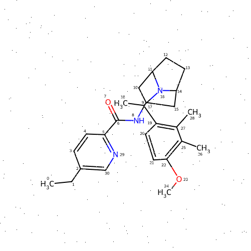 CCc1ccc(C(=O)NC2CC3CCC(C2)N3C(C)c2ccc(OC)c(C)c2C)nc1